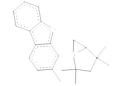 Cc1ccc2c(oc3ccccc32)c1[N@+]12[C@H](C)[C@@]1(C)C(C)(C)CC2(C)C